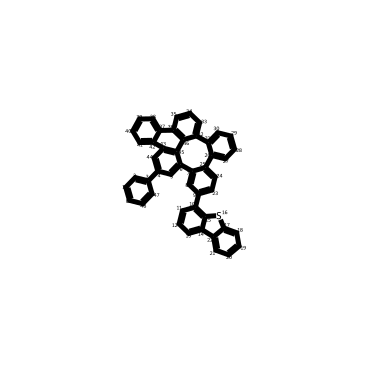 c1ccc(-c2cc3c4cc(-c5cccc6c5sc5ccccc56)ccc4c4ccccc4c4cccc5c6ccccc6c(c2)c3c45)cc1